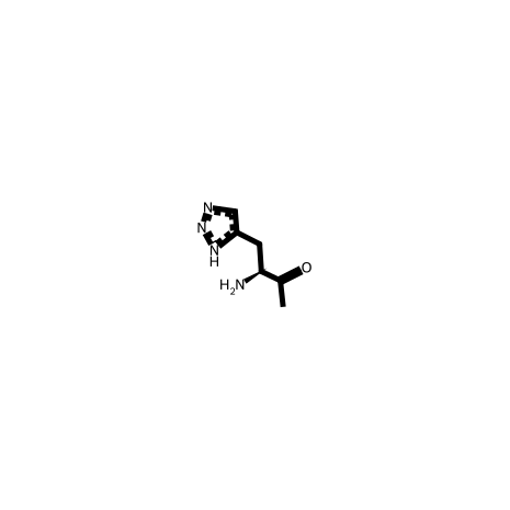 CC(=O)[C@@H](N)Cc1cnn[nH]1